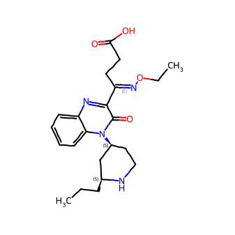 CCC[C@H]1C[C@@H](n2c(=O)c(/C(CCC(=O)O)=N/OCC)nc3ccccc32)CCN1